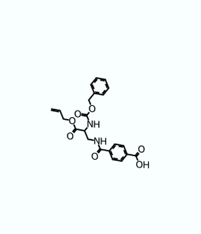 C=CCOC(=O)C(CNC(=O)c1ccc(C(=O)O)cc1)NC(=O)OCc1ccccc1